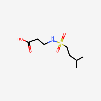 CC(C)CCS(=O)(=O)NCCC(=O)O